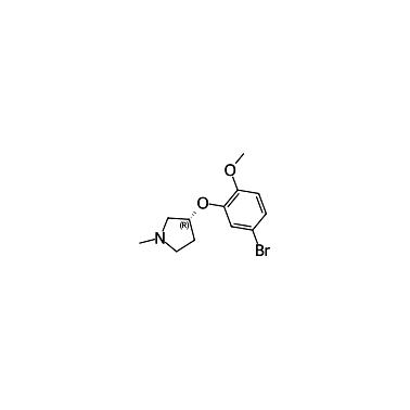 COc1ccc(Br)cc1O[C@@H]1CCN(C)C1